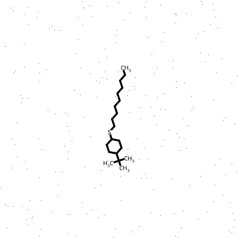 CCCCCCCCCCSC1CCC(C(C)(C)C)CC1